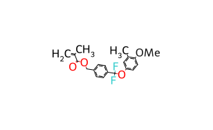 C=C(C)C(=O)OCc1ccc(C(F)(F)Oc2ccc(OC)c(C)c2)cc1